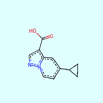 O=C(O)c1cnn2ccc(C3CC3)cc12